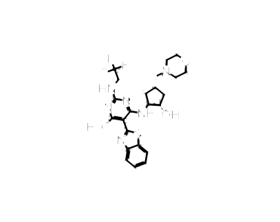 Cc1nc(NCC(F)(F)F)nc(NC2C[C@H](CN3CCOCC3)C[C@H]2O)c1-c1nc2ccccc2s1